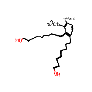 CCCCCCCCc1c(CCCCCC)ccc(CCCCCCCCO)c1CCCCCCCCO